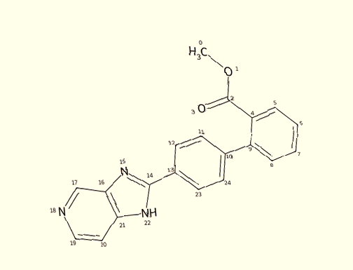 COC(=O)c1ccccc1-c1ccc(-c2nc3cnccc3[nH]2)cc1